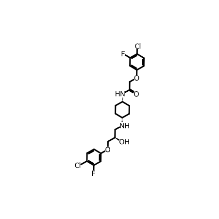 O=C(COc1ccc(Cl)c(F)c1)N[C@H]1CC[C@@H](NC[C@@H](O)COc2ccc(Cl)c(F)c2)CC1